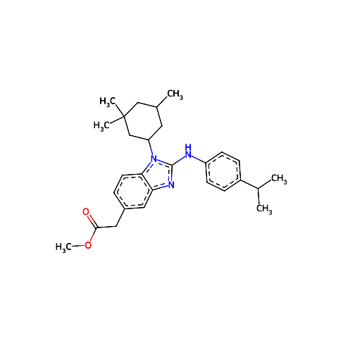 COC(=O)Cc1ccc2c(c1)nc(Nc1ccc(C(C)C)cc1)n2C1CC(C)CC(C)(C)C1